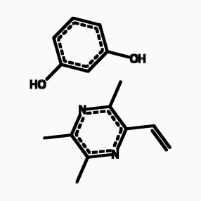 C=Cc1nc(C)c(C)nc1C.Oc1cccc(O)c1